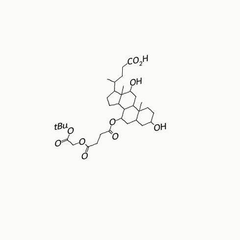 CC(CCC(=O)O)C1CCC2C3C(OC(=O)CCC(=O)OCC(=O)OC(C)(C)C)CC4CC(O)CCC4(C)C3CC(O)C12C